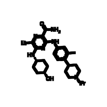 CCc1nc(C(N)=O)c(Nc2ccc(C3CCN(C(C)C)CC3)c(C)c2)nc1N[C@H]1CC[C@H](O)CC1